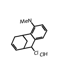 CNc1cccc2c1C1CC=CC(C1)C2Cl.Cl